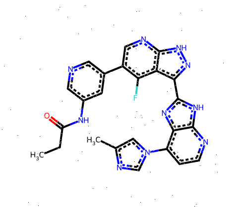 CCC(=O)Nc1cncc(-c2cnc3[nH]nc(-c4nc5c(-n6cnc(C)c6)ccnc5[nH]4)c3c2F)c1